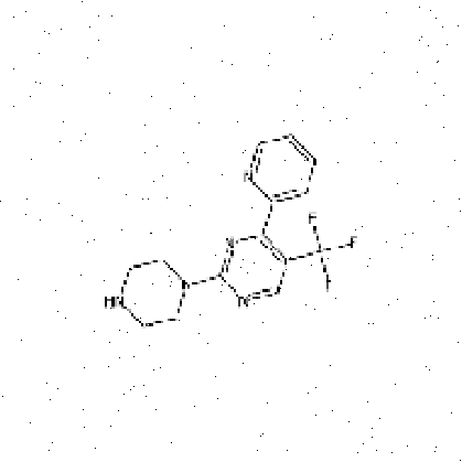 FC(F)(F)c1cnc(N2CCNCC2)nc1-c1ccccn1